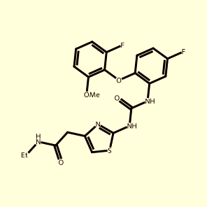 CCNC(=O)Cc1csc(NC(=O)Nc2cc(F)ccc2Oc2c(F)cccc2OC)n1